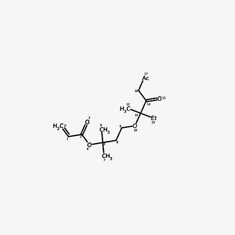 C=CC(=O)OC(C)(C)CCOC(C)(CC)C(=O)CC(C)=O